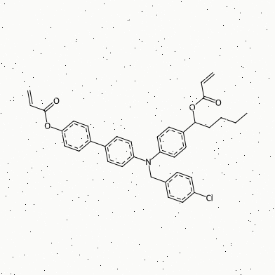 C=CC(=O)Oc1ccc(-c2ccc(N(Cc3ccc(Cl)cc3)c3ccc(C(CCCC)OC(=O)C=C)cc3)cc2)cc1